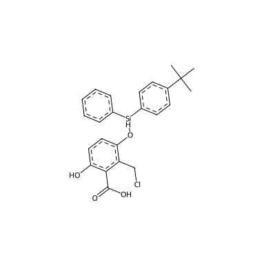 CC(C)(C)c1ccc([SiH](Oc2ccc(O)c(C(=O)O)c2CCl)c2ccccc2)cc1